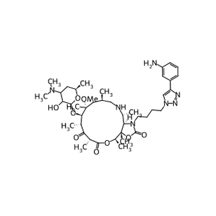 CO[C@]1(C)C[C@@H](C)CN[C@H](C)[C@H]2N(CCCCn3cc(-c4cccc(N)c4)nn3)C(=O)O[C@]2(C)[C@@H](C)OC(=O)[C@H](C)C(=O)[C@H](C)[C@H]1O[C@@H]1O[C@H](C)CC(N(C)C)C1O